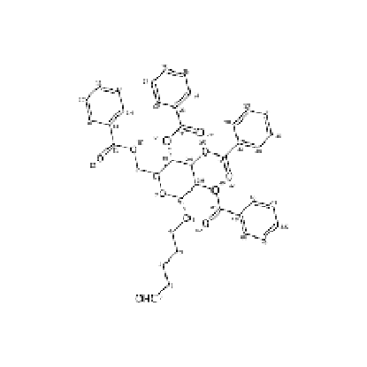 O=CCCCCO[C@@H]1OC(COC(=O)c2ccccc2)[C@H](OC(=O)c2ccccc2)C(OC(=O)c2ccccc2)C1OC(=O)c1ccccc1